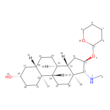 CN[C@H]1[C@H](OC2CCCCO2)C[C@H]2[C@@H]3CC[C@H]4C[C@@H](O)CC[C@]4(C)[C@H]3CC[C@@]21C